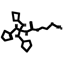 NOCCOC(=O)NC(BC1=CCCC1)(BC1CCCC1)BC1CCC1